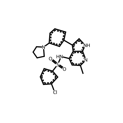 Cc1cc(NS(=O)(=O)c2cccc(Cl)c2)c2c(-c3cccc(N4CCCC4)c3)c[nH]c2n1